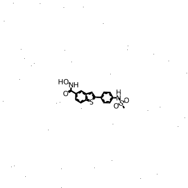 CS(=O)(=O)Nc1ccc(-c2cc3cc(C(=O)NO)ccc3s2)cc1